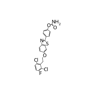 NC(=O)Oc1ccc(-c2nc3ccc(OCCc4c(Cl)ccc(F)c4Cl)cc3s2)cc1